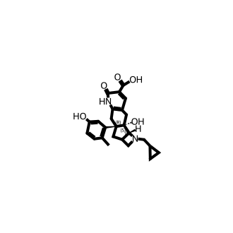 Cc1ccc(O)cc1[C@@]12Cc3[nH]c(=O)c(C(=O)O)cc3C[C@@]1(O)[C@H]1C(CN1CC1CC1)C2